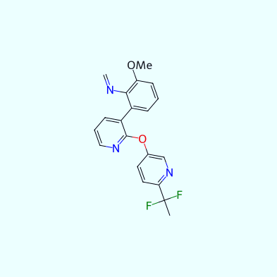 C=Nc1c(OC)cccc1-c1cccnc1Oc1ccc(C(C)(F)F)nc1